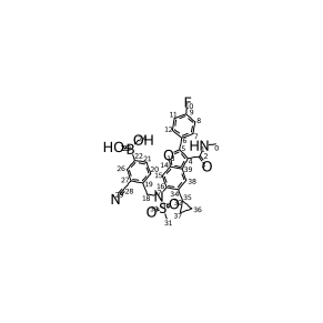 CNC(=O)c1c(-c2ccc(F)cc2)oc2cc(N(Cc3ccc(B(O)O)cc3C#N)S(C)(=O)=O)c(C3CC3)cc12